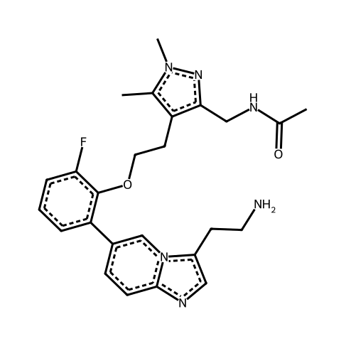 CC(=O)NCc1nn(C)c(C)c1CCOc1c(F)cccc1-c1ccc2ncc(CCN)n2c1